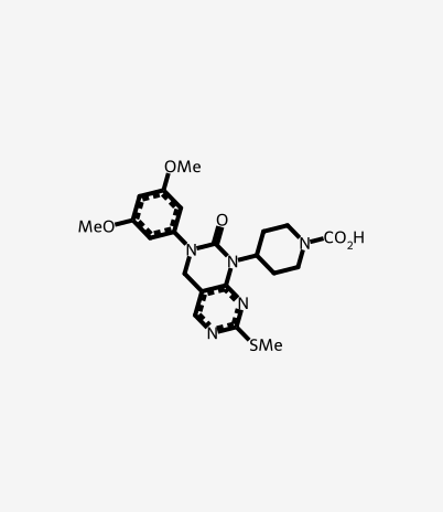 COc1cc(OC)cc(N2Cc3cnc(SC)nc3N(C3CCN(C(=O)O)CC3)C2=O)c1